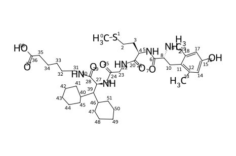 CSCC[C@@H](NC(=O)[C@H](N)Cc1c(C)cc(O)cc1C)C(=O)NCC(=O)N[C@H](C(=O)NCCCCCC(=O)O)C(C1CCCCC1)C1CCCCC1